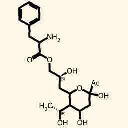 CC(=O)C1(O)CC(O)C([C@@H](C)O)C(C[C@H](O)COC(=O)C(N)Cc2ccccc2)O1